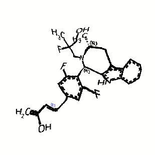 C=C(O)/C=C/c1cc(F)c([C@@H]2c3[nH]c4ccccc4c3C[C@@H](C)N2CC(C)(F)CO)c(F)c1